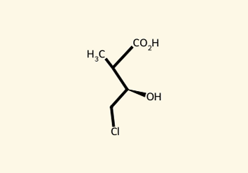 CC(C(=O)O)[C@@H](O)CCl